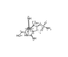 CC1[C@@H](OS(N)(=O)=O)[C@H](C)N2C(=N)N[C@@H](CO)C3NC(=N)N(O)C312